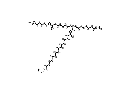 [CH2]CCCCCOC(=O)CCCCCCCC(/C=C/CCCCCCC)COC(=O)CCCCCCCCCCCCCCCCC